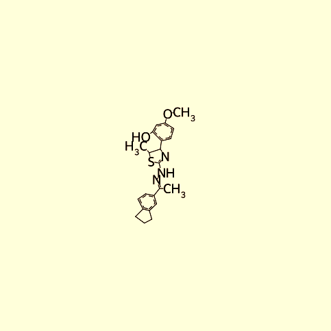 COc1ccc(C2N=C(N/N=C(\C)c3ccc4c(c3)CCC4)SC2C)c(O)c1